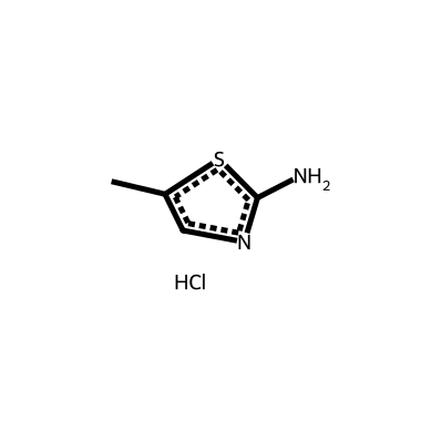 Cc1cnc(N)s1.Cl